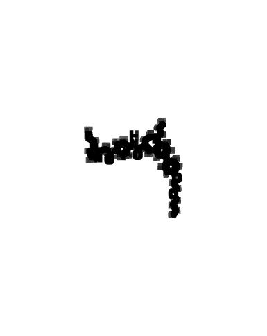 CCCCOCCOc1ccc(-c2ccc3c(c2)C=C(C(=O)Nc2ccc([S+]([O-])Cc4nccn4CCC)nc2)CCN3CCC)cc1